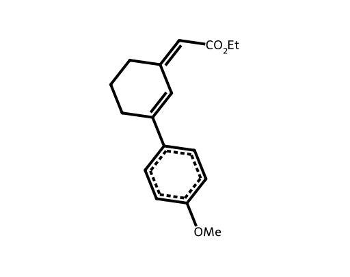 CCOC(=O)C=C1C=C(c2ccc(OC)cc2)CCC1